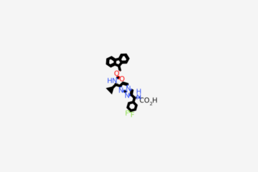 O=C(O)N[C@H](c1cn2ccc([C@H](NC(=O)OCC3c4ccccc4-c4ccccc43)C3CC3)nc2n1)C1CCC(F)(F)CC1